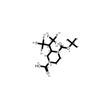 CC(C)(C)OC(=O)N1CCN(C(=O)O)CC1C(C(F)(F)F)C(F)(F)F